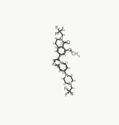 COc1cc(-c2cnc3cc(N4CCN(CC(F)(F)F)CC4)ccn23)cc2c1C(=O)N(CC(F)(F)F)CC2